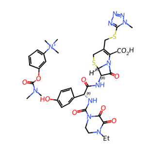 CCN1CCN(C(=O)N[C@@H](C(=O)N[C@@H]2C(=O)N3C(C(=O)O)=C(CSc4nnnn4C)CS[C@H]23)c2ccc(O)cc2)C(=O)C1=O.CN(C)C(=O)Oc1cccc([N+](C)(C)C)c1